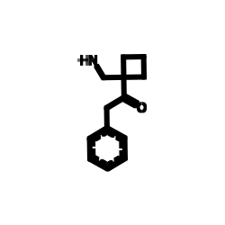 [NH]CC1(C(=O)Cc2ccccc2)CCC1